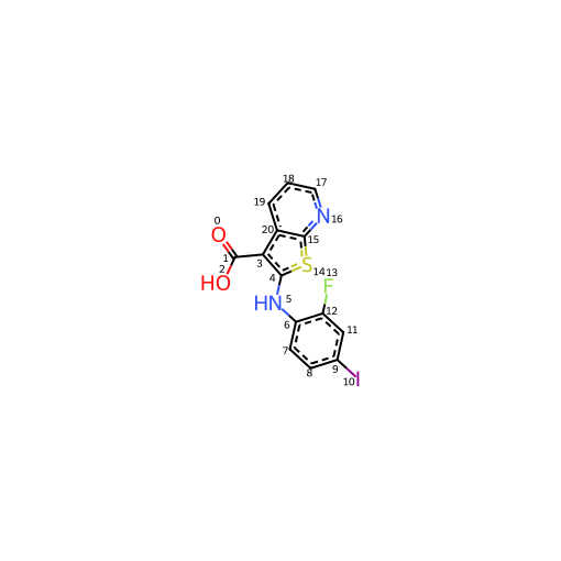 O=C(O)c1c(Nc2ccc(I)cc2F)sc2ncccc12